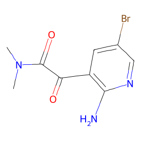 CN(C)C(=O)C(=O)c1cc(Br)cnc1N